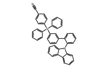 N#Cc1ccc([Si](c2ccccc2)(c2ccccc2)c2cccc(-c3ccccc3-n3c4ccccc4c4ccccc43)c2)cc1